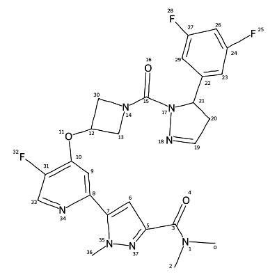 CN(C)C(=O)c1cc(-c2cc(OC3CN(C(=O)N4N=CCC4c4cc(F)cc(F)c4)C3)c(F)cn2)n(C)n1